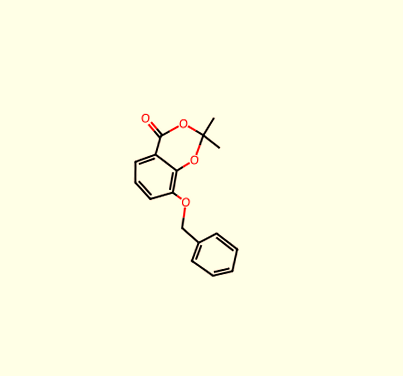 CC1(C)OC(=O)c2cccc(OCc3ccccc3)c2O1